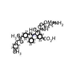 COC(=O)[C@H](CCCCN)NC(=O)N1C(=O)/C(=C(\Nc2ccc(N(C)C(=O)CN3CCN(C)CC3)cc2)c2ccccc2)c2ccc(C(=O)O)cc21